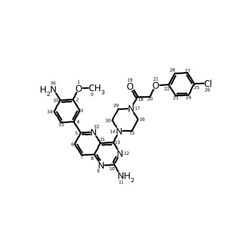 COc1cc(-c2ccc3nc(N)nc(N4CCN(C(=O)COc5ccc(Cl)cc5)CC4)c3n2)ccc1N